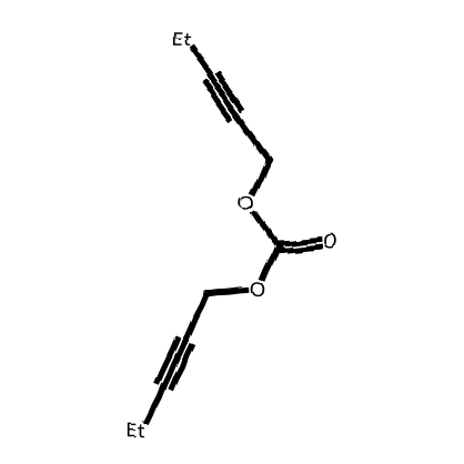 CCC#CCOC(=O)OCC#CCC